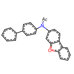 CC(=O)N(c1ccc(-c2ccccc2)cc1)c1ccc2c(c1)oc1ccccc12